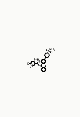 Cc1ccccc1[C@H](CC(=NO)c1ccc(=O)n(C)c1)c1ccc(C2CCN(S(N)(=O)=O)CC2)cc1